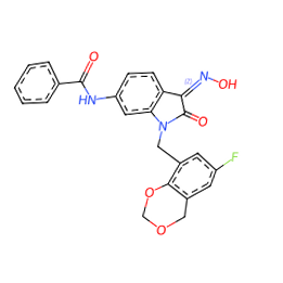 O=C(Nc1ccc2c(c1)N(Cc1cc(F)cc3c1OCOC3)C(=O)/C2=N\O)c1ccccc1